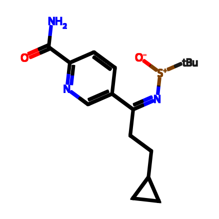 CC(C)(C)[S+]([O-])/N=C(/CCC1CC1)c1ccc(C(N)=O)nc1